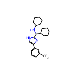 FC(F)(F)c1cccc(-c2c[nH]c(C(NC3CCCCC3)C3CCCCC3)n2)c1